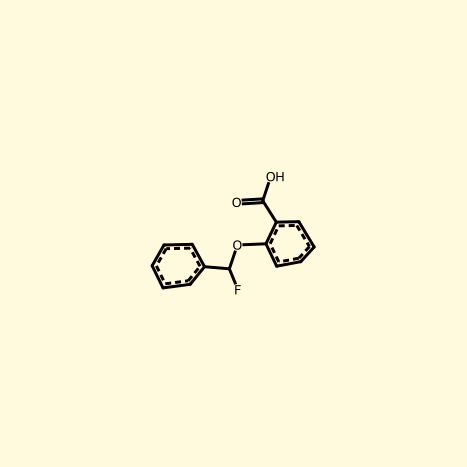 O=C(O)c1ccccc1OC(F)c1ccccc1